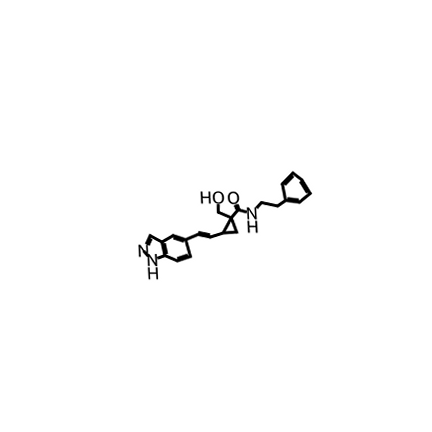 O=C(NCCc1ccccc1)C1(CO)CC1C=Cc1ccc2[nH]ncc2c1